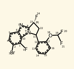 Fc1c(Br)ccc2nc3n(c12)C(c1ccccc1OC(F)F)C[C@H]3F